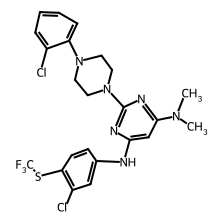 CN(C)c1cc(Nc2ccc(SC(F)(F)F)c(Cl)c2)nc(N2CCN(c3ccccc3Cl)CC2)n1